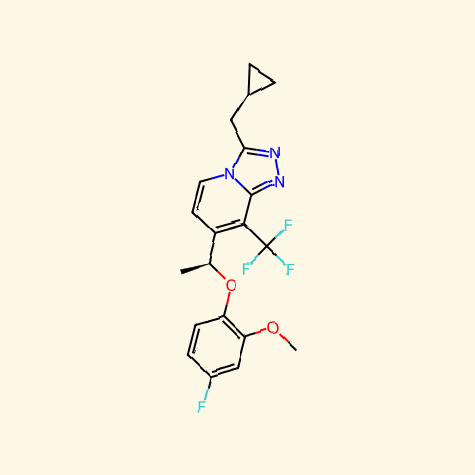 COc1cc(F)ccc1O[C@@H](C)c1ccn2c(CC3CC3)nnc2c1C(F)(F)F